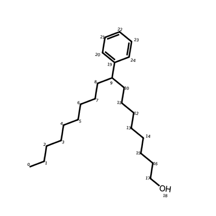 CCCCCCCCCC(CCCCCCCCO)c1ccccc1